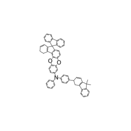 CC1(C)C2=C(CC(c3ccc(N(c4ccccc4)c4ccc5c(c4)Oc4ccc6c(c4O5)C4=C(C=CCC4)C64c5ccccc5-c5ccccc54)cc3)C=C2)c2ccccc21